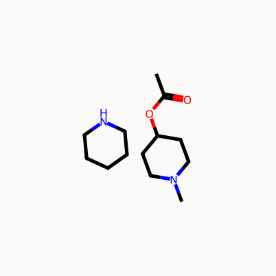 C1CCNCC1.CC(=O)OC1CCN(C)CC1